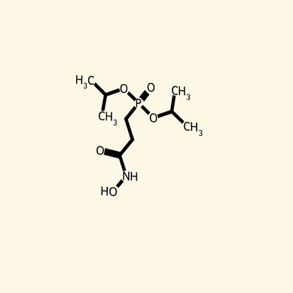 CC(C)OP(=O)(CCC(=O)NO)OC(C)C